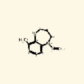 Cc1cccc2c1SCCCN2N=O